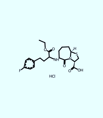 CCOC(=O)C(CCc1ccc(F)cc1)N[C@H]1CCC[C@H]2SC[C@@H](C(=O)O)N2C1=O.Cl